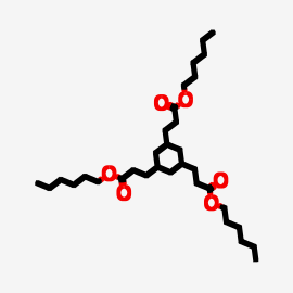 CCCCCCOC(=O)CCC1CC(CCC(=O)OCCCCCC)CC(CCC(=O)OCCCCCC)C1